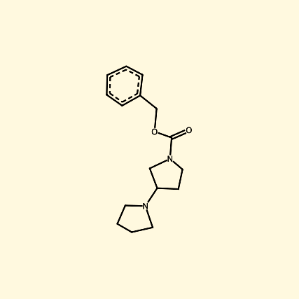 O=C(OCc1ccccc1)N1CCC(N2CCCC2)C1